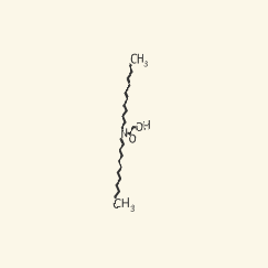 CCCCCCCCCCCCN(CCCCCCCCCCCC)C(=O)CO